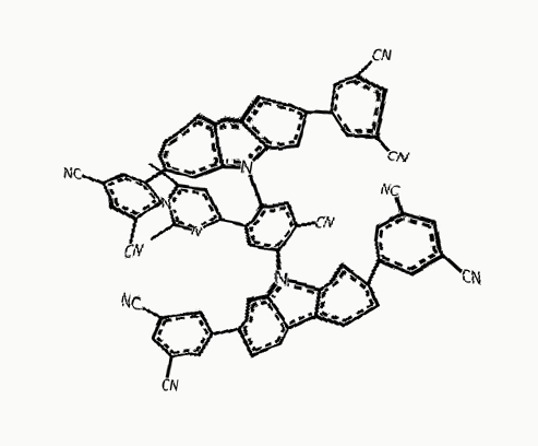 Cc1cc(-c2cc(-n3c4cc(-c5cc(C#N)cc(C#N)c5)ccc4c4ccc(-c5cc(C#N)cc(C#N)c5)cc43)c(C#N)cc2-n2c3cc(-c4cc(C#N)cc(C#N)c4)ccc3c3ccc(-c4cc(C#N)cc(C#N)c4)cc32)nc(C)n1